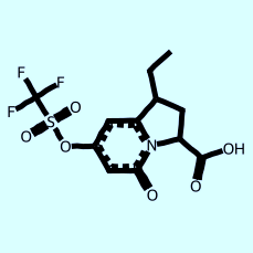 CCC1CC(C(=O)O)n2c1cc(OS(=O)(=O)C(F)(F)F)cc2=O